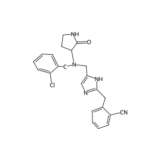 N#Cc1ccccc1Cc1ncc(CN(Cc2ccccc2Cl)C2CCNC2=O)[nH]1